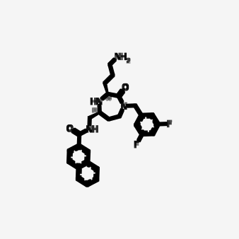 NCCC[C@@H]1N[C@H](CNC(=O)c2ccc3ccccc3c2)CCN(Cc2cc(F)cc(F)c2)C1=O